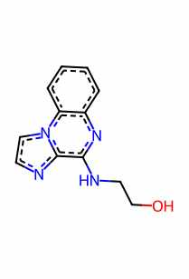 OCCNc1nc2ccccc2n2ccnc12